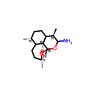 C[C@H]1C(N)O[C@@H]2O[C@]3(C)CCC4[C@H](C)CCC1[C@]42OO3